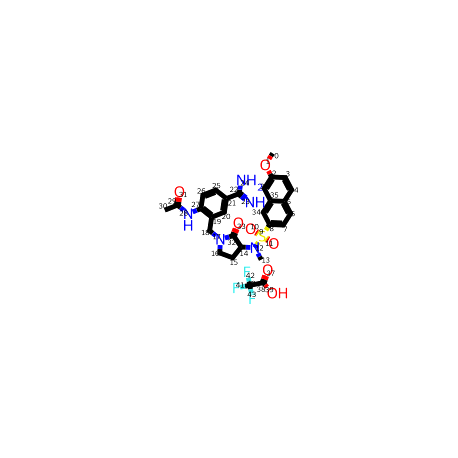 COc1ccc2ccc(S(=O)(=O)N(C)C3CCN(Cc4cc(C(=N)N)ccc4NC(C)=O)C3=O)cc2c1.O=C(O)C(F)(F)F